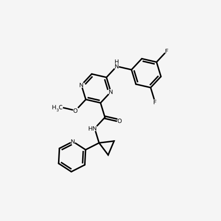 COc1ncc(Nc2cc(F)cc(F)c2)nc1C(=O)NC1(c2ccccn2)CC1